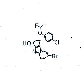 O[C@@H]1C[C@H](c2cc(Cl)ccc2OC(F)F)c2c1nc1ccc(Br)cn21